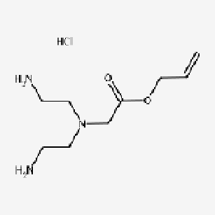 C=CCOC(=O)CN(CCN)CCN.Cl